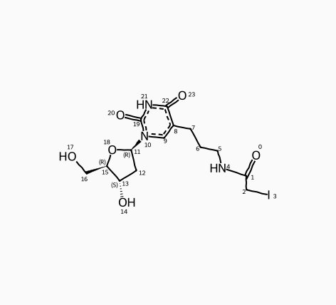 O=C(CI)NCCCc1cn([C@H]2C[C@H](O)[C@@H](CO)O2)c(=O)[nH]c1=O